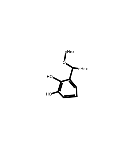 CCCCCCOC(CCCCCC)c1cccc(O)c1O